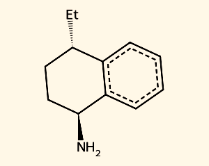 CC[C@H]1CC[C@H](N)c2ccccc21